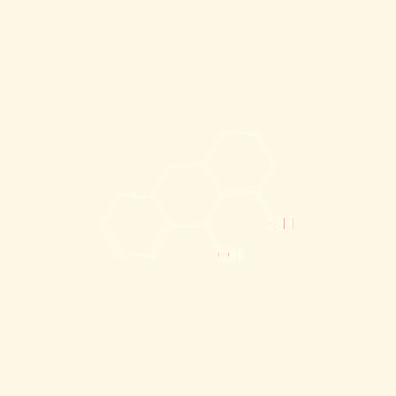 OC1=C2C(CCC1)CC1CC=CC=C1C2O